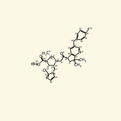 C[C@@H]1CN(CC(=O)N2CC(C)(C)c3ncc(Cc4ccc(F)cc4)cc32)[C@@H](Cn2ccnc2Cl)CN1C(=O)OC(C)(C)C